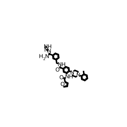 Cc1ccccc1N1CCN(c2ccc(C(=O)NCc3cccc(/C(N)=N/N=N)c3)cc2NC(=O)c2ccco2)CC1